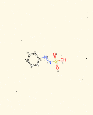 O=S(=O)(O)N=Nc1ccccc1